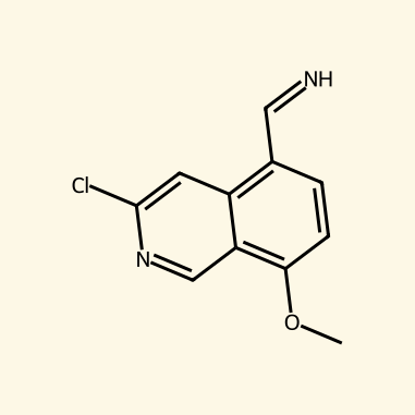 COc1ccc(C=N)c2cc(Cl)ncc12